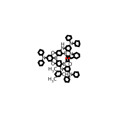 Cc1cc(C)c(N2c3cc4c(cc3B3c5ccccc5Oc5cc(N(c6ccccc6)c6ccccc6)cc2c53)B2c3cc5c(cc3Oc3cc(N(c6ccccc6)c6ccccc6)cc(c32)O4)Nc2cc(N(c3ccccc3)c3ccccc3)cc3c2B5c2cccc4c5ccccc5n-3c24)c(C)c1